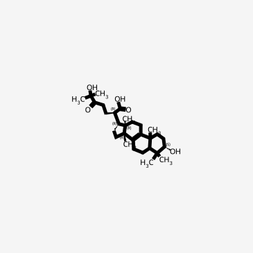 CC(C)(O)C(=O)CC[C@@H](C(=O)O)[C@H]1CC[C@@]2(C)C3=C(CC[C@]12C)C1(C)CC[C@H](O)C(C)(C)C1CC3